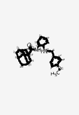 COc1ccc(CNc2ccccc2NC(=O)C23CC4CC(CC(C4)C2)C3)cc1